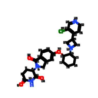 O=C1CC[C@H](N2Cc3cc(O[C@H]4CCCC[C@H]4N4CC(c5ccncc5Cl)C4)ccc3C2=O)C(=O)N1